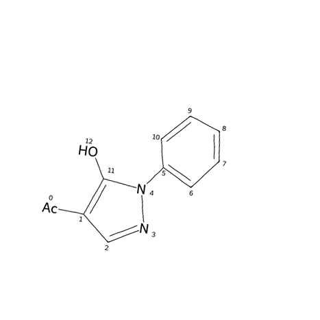 CC(=O)c1cnn(-c2ccccc2)c1O